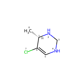 C[C@@H]1NCNC=C1Cl